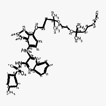 Cc1ccc(S(=O)(=O)Nc2nc3ccccc3nc2Nc2ccc(OCCC(C)(C)OCCOC(C)(C)CCN=[N+]=[N-])c3nsnc23)cc1